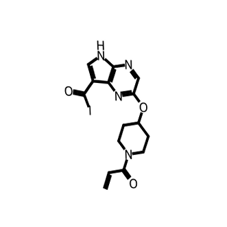 C=CC(=O)N1CCC(Oc2cnc3[nH]cc(C(=O)I)c3n2)CC1